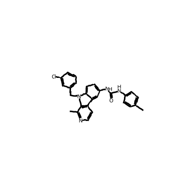 Cc1ccc(NC(=O)Nc2ccc3c(c2)c2ccnc(C)c2n3Cc2cccc(Cl)c2)cc1